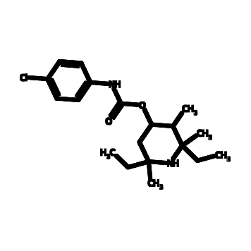 CCC1(C)CC(OC(=O)Nc2ccc(Cl)cc2)C(C)C(C)(CC)N1